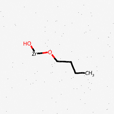 CCCC[O][Zr][OH]